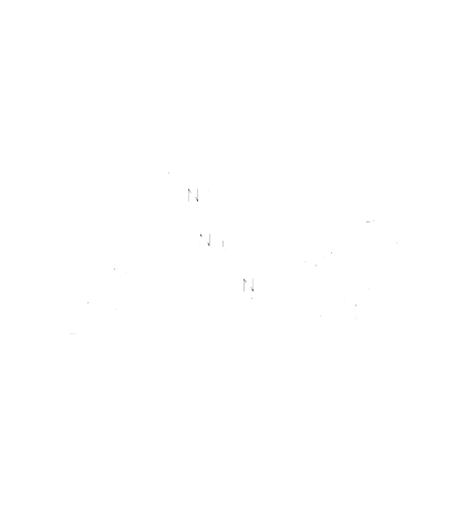 FCCOCc1cccnc1N1CCN(C[C@H]2COc3ccccc3O2)CC1